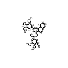 COc1cc(C(=O)OC2CC(c3cc(OC)c(OC)c(OC)c3)Oc3c2ccc2ccccc32)cc(OC)c1OC